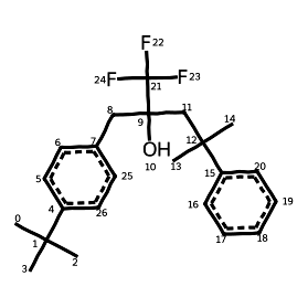 CC(C)(C)c1ccc(CC(O)(CC(C)(C)c2ccccc2)C(F)(F)F)cc1